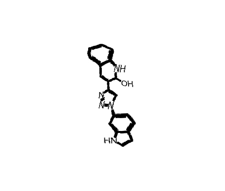 OC1Nc2ccccc2C=C1c1cn(-c2ccc3cc[nH]c3c2)nn1